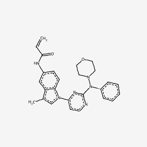 C=CC(=O)Nc1ccc2c(c1)c(C)cn2-c1ccnc(N(c2ccccc2)N2CCOCC2)n1